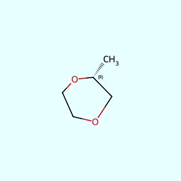 C[C@@H]1COCCO1